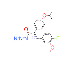 COc1cc(/C=C(/C(=O)N=[N+]=[N-])c2ccc(OC(C)C)cc2)ccc1F